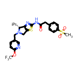 CC(C)[C@@H]1c2nc(NC(=O)Cc3ccc(S(C)(=O)=O)cc3)sc2CN1Cc1ccc(OC(F)(F)F)nc1